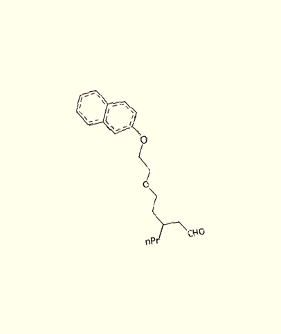 CCCC(CC=O)CCOCCOc1ccc2ccccc2c1